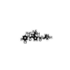 Cn1c(C(=O)Nc2ccc(F)c(Cl)c2)c2c(c1C(F)(F)F)C(NC(=O)OCc1cn[nH]n1)CC2